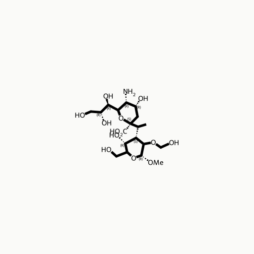 CO[C@@H]1OC(CO)[C@H](O)[C@H](C(C)[C@]2(C(=O)O)C[C@@H](O)[C@@H](N)C([C@H](O)[C@H](O)CO)O2)C1OCO